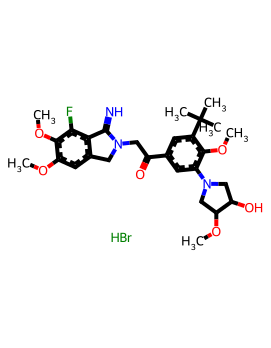 Br.COc1cc2c(c(F)c1OC)C(=N)N(CC(=O)c1cc(N3CC(O)C(OC)C3)c(OC)c(C(C)(C)C)c1)C2